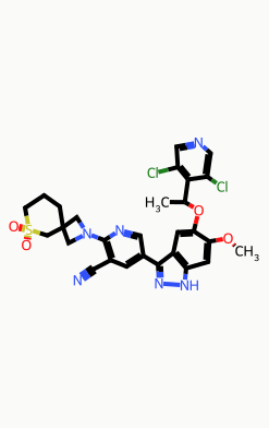 COc1cc2[nH]nc(-c3cnc(N4CC5(CCCS(=O)(=O)C5)C4)c(C#N)c3)c2cc1OC(C)c1c(Cl)cncc1Cl